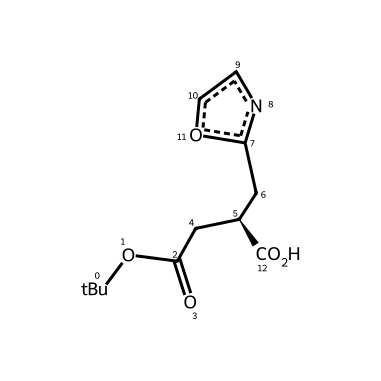 CC(C)(C)OC(=O)C[C@@H](Cc1ncco1)C(=O)O